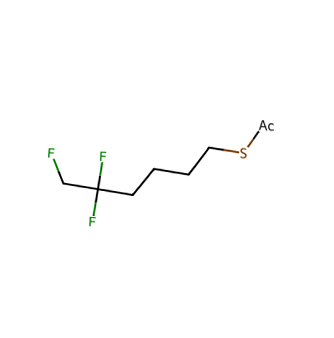 CC(=O)SCCCCC(F)(F)CF